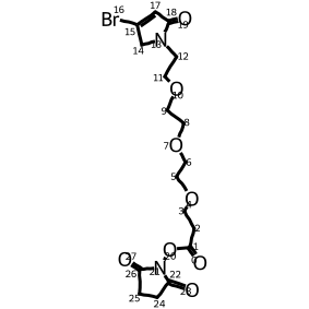 O=C(CCOCCOCCOCCN1CC(Br)=CC1=O)ON1C(=O)CCC1=O